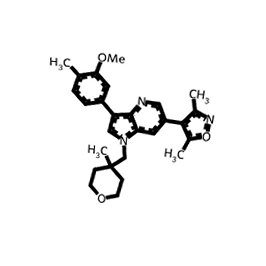 COc1cc(-c2cn(CC3(C)CCOCC3)c3cc(-c4c(C)noc4C)cnc23)ccc1C